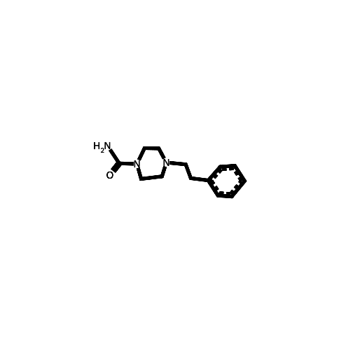 NC(=O)N1CCN(CCc2ccccc2)CC1